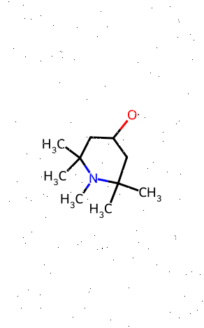 CN1C(C)(C)CC([O])CC1(C)C